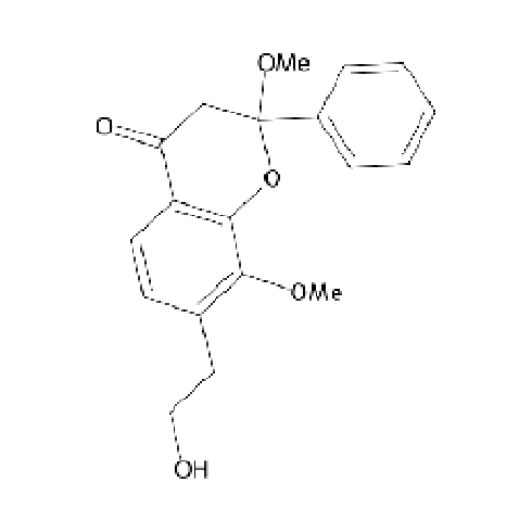 COc1c(CCO)ccc2c1OC(OC)(c1ccccc1)CC2=O